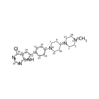 CN1CCN(C2CCN(c3ccc(-c4cc5c(Cl)ncnc5[nH]4)cc3)CC2)CC1